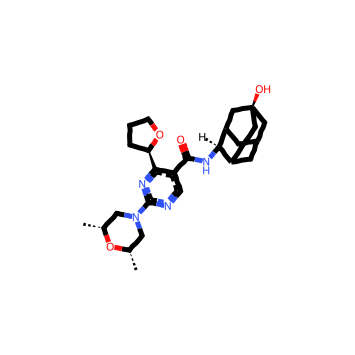 C[C@@H]1CN(c2ncc(C(=O)N[C@H]3C4CC5CC3C[C@@](O)(C5)C4)c([C@H]3CCCO3)n2)C[C@H](C)O1